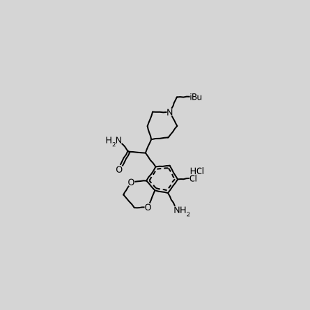 CCC(C)CN1CCC(C(C(N)=O)c2cc(Cl)c(N)c3c2OCCO3)CC1.Cl